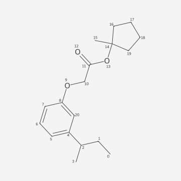 CCC(C)c1cccc(OCC(=O)OC2(C)CCCC2)c1